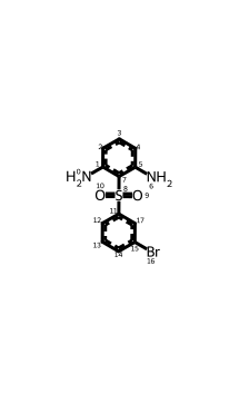 Nc1cccc(N)c1S(=O)(=O)c1cccc(Br)c1